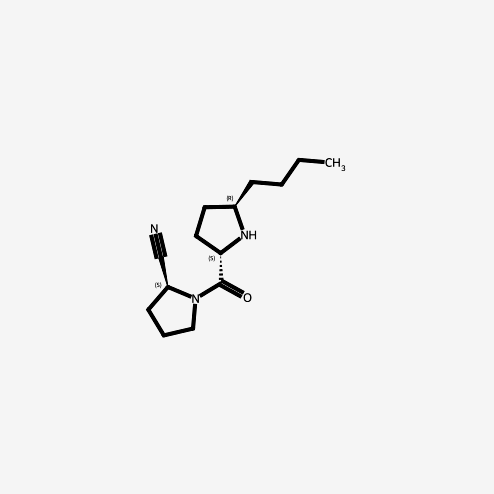 CCCC[C@@H]1CC[C@@H](C(=O)N2CCC[C@H]2C#N)N1